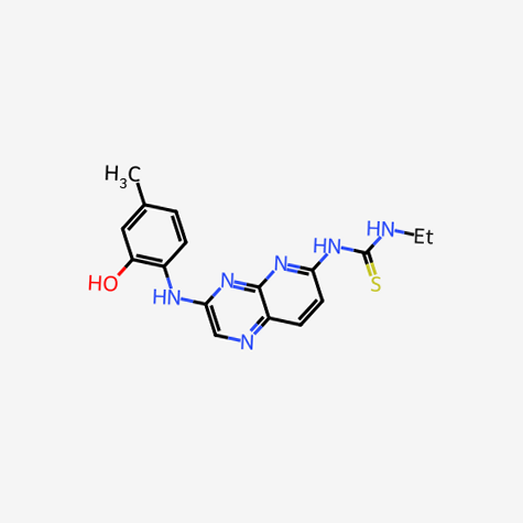 CCNC(=S)Nc1ccc2ncc(Nc3ccc(C)cc3O)nc2n1